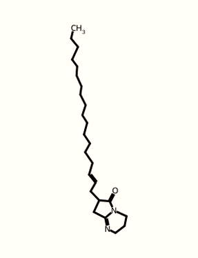 CCCCCCCCCCCCCCCC=CCC1CC2=NCCCN2C1=O